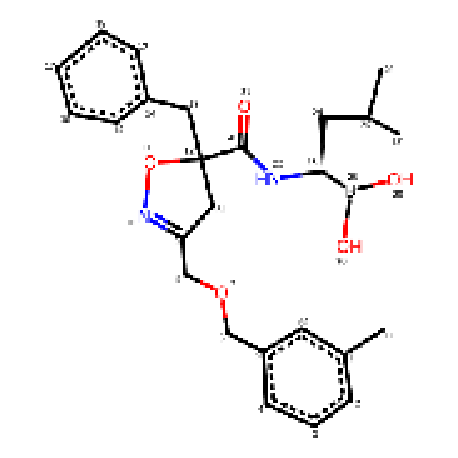 Cc1cccc(COCC2=NOC(Cc3ccccc3)(C(=O)N[C@@H](CC(C)C)B(O)O)C2)c1